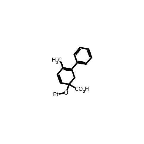 CCOC1(C(=O)O)C=CC(C)=C(c2ccccc2)C1